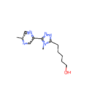 Cc1cnc(-c2nnc(CCCCCO)n2C)cn1